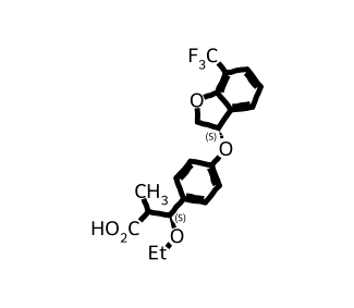 CCO[C@H](c1ccc(O[C@@H]2COc3c2cccc3C(F)(F)F)cc1)C(C)C(=O)O